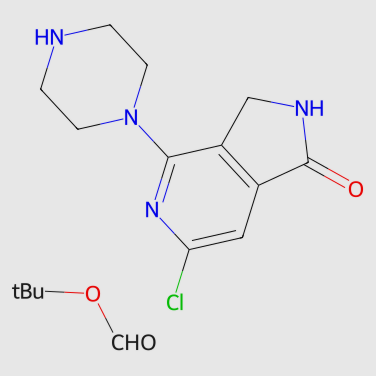 CC(C)(C)OC=O.O=C1NCc2c1cc(Cl)nc2N1CCNCC1